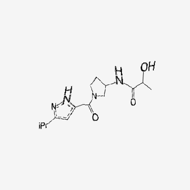 CC(O)C(=O)NC1CCN(C(=O)c2cc(C(C)C)n[nH]2)C1